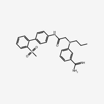 CCCN(CC(=O)Nc1ccc(-c2ccccc2S(C)(=O)=O)cc1)c1cccc(C(=N)N)c1